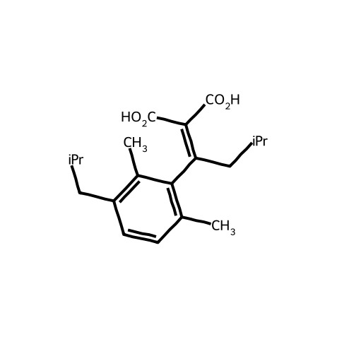 Cc1ccc(CC(C)C)c(C)c1C(CC(C)C)=C(C(=O)O)C(=O)O